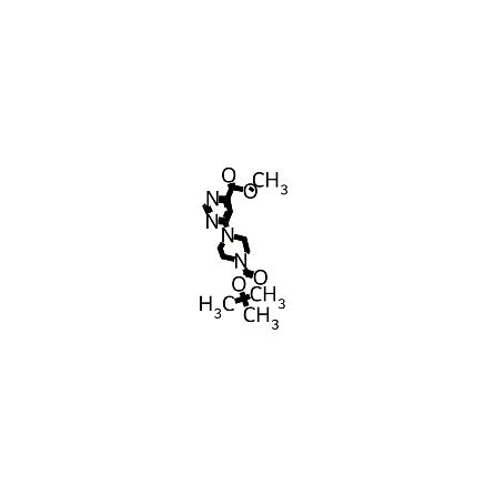 COC(=O)c1cc(N2CCN(C(=O)OC(C)(C)C)CC2)ncn1